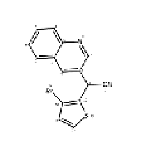 OC(c1cnc2ccccc2c1)c1sccc1Br